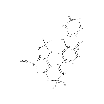 COc1cc2c(c3c1OC(C)(C)C3)C(c1ccc(=O)n(Cc3cccnc3)c1)=NC(C)(C)C2